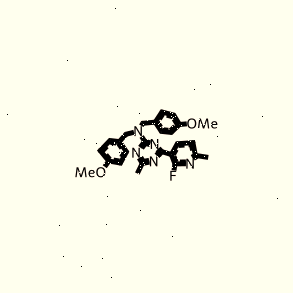 COc1ccc(CN(Cc2ccc(OC)cc2)c2nc(C)nc(-c3ccc(C)nc3F)n2)cc1